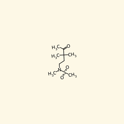 CC(=O)C(C)(C)CCN(C)S(C)(=O)=O